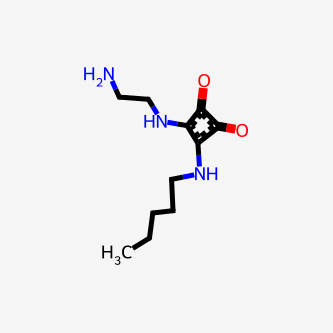 CCCCCNc1c(NCCN)c(=O)c1=O